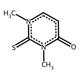 Cn1ccc(=O)n(C)c1=S